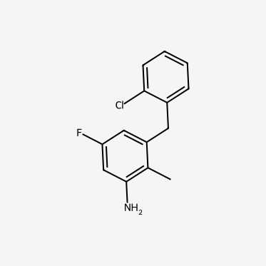 Cc1c(N)cc(F)cc1Cc1ccccc1Cl